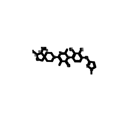 Cc1c(N2CCC3(CC2)CO[C@@H](I)[C@H]3N)nc(C)n(-c2ccc(Oc3ccn(C)n3)c(Cl)c2Cl)c1=O